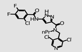 CCCN(Cc1c(Cl)cncc1Cl)C(=O)c1cc(NC(=O)c2cc(F)c(F)cc2Cl)[nH]n1